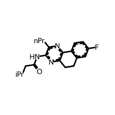 CCCc1nc2c(nc1NC(=O)CC(C)C)CCc1cc(F)ccc1-2